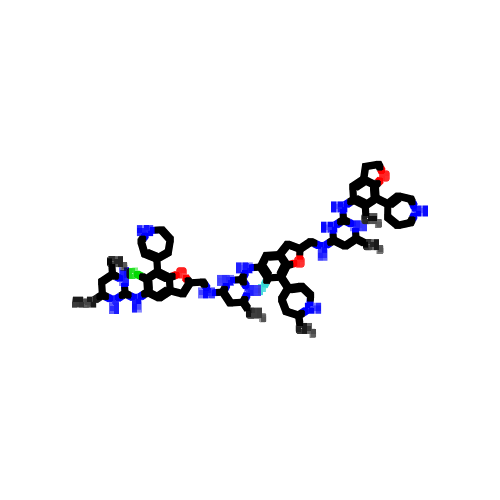 CNC1CC(C)NC(Nc2cc3c(c(C4=CCNCCC4)c2Cl)OC(CNC2CC(C)NC(Nc4cc5c(c(C6=CCNC(C)CC6)c4F)OC(CNC4CC(C)NC(Nc6cc7c(c(C8=CCNCCC8)c6C)OCC7)N4)C5)N2)C3)N1